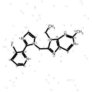 CCn1c(Cn2ccnc2-c2ncccc2F)nc2cnc(C)nc21